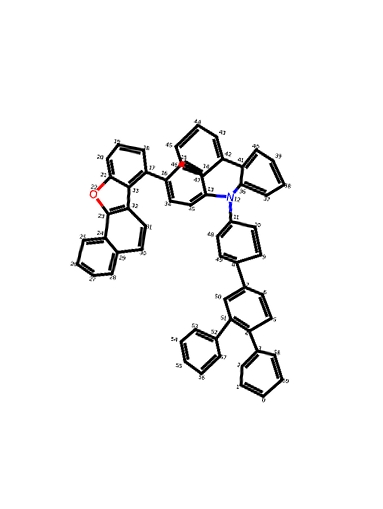 c1ccc(-c2ccc(-c3ccc(N(c4ccc(-c5cccc6oc7c8ccccc8ccc7c56)cc4)c4ccccc4-c4ccccc4)cc3)cc2-c2ccccc2)cc1